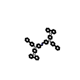 C1=CC2c3ccccc3N(c3ccc(N(c4ccc(/C=C/c5ccc(N(c6ccc(-c7ccccc7)cc6)c6ccc(-n7c8ccccc8c8ccccc87)cc6)cc5)cc4)c4ccc(-c5ccccc5)cc4)cc3)C2C=C1